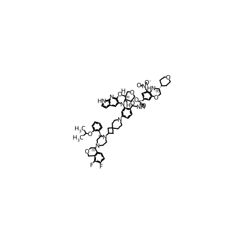 CC(C)Oc1ccccc1[C@@H]1CN([C@@H]2COCc3c2ccc(F)c3F)CCN1C1CC2(CCN(c3ccc(C(=O)NS(=O)(=O)c4cc5c(c([N+](=O)[O-])c4)N[C@H](C4CCOCC4)CO5)c(N4c5cc6cc[nH]c6nc5O[C@H]5COCC[C@@H]54)c3)CC2)C1